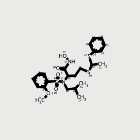 COc1ccccc1S(=O)(=O)N(CC(C)C)C(CCSC(C)Sc1ccccc1)C(=O)NO